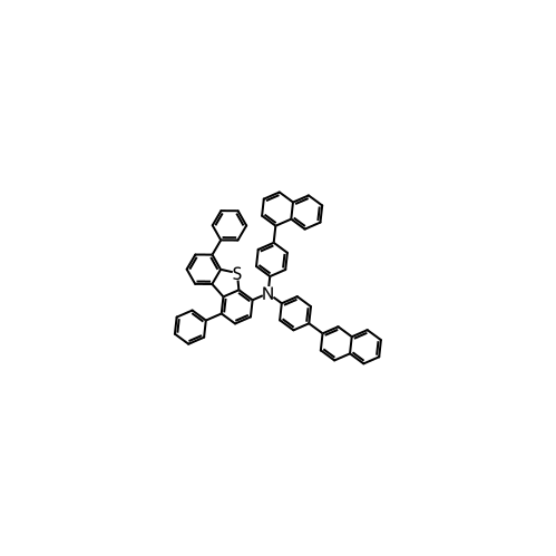 c1ccc(-c2cccc3c2sc2c(N(c4ccc(-c5ccc6ccccc6c5)cc4)c4ccc(-c5cccc6ccccc56)cc4)ccc(-c4ccccc4)c23)cc1